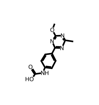 COc1nc(C)nc(-c2ccc(NC(=O)O)cc2)n1